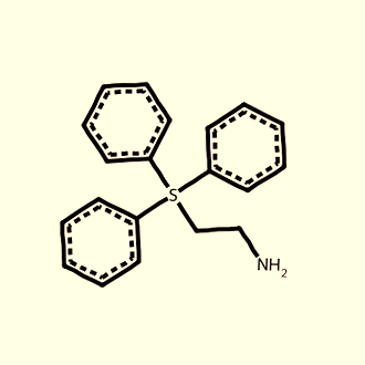 NCCS(c1ccccc1)(c1ccccc1)c1ccccc1